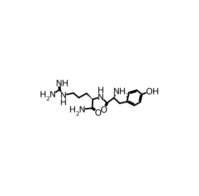 N=C(N)NCCC[C@@H](NC(=O)[C@@H](N)Cc1ccc(O)cc1)C(N)=O